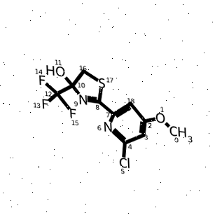 COc1cc(Cl)nc(C2=NC(O)(C(F)(F)F)CS2)c1